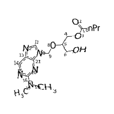 CCCC(=O)OCC(CO)OCn1cnc2cnc(N(C)C)nc21